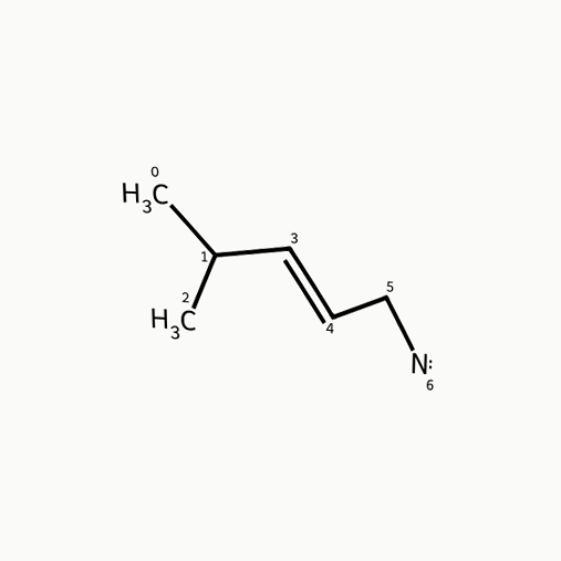 CC(C)C=CC[N]